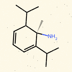 CC(C)C1=CC=CC(C(C)C)[C@@]1(C)N